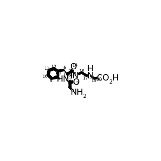 NCC(=O)N[C@@H](Cc1ccccc1)C(=O)NCCNCC(=O)O